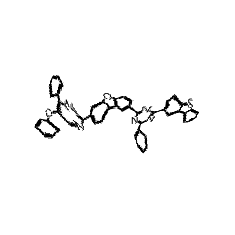 c1ccc(Oc2cnc(-c3ccc4c(c3)oc3ccc(-c5nc(-c6ccccc6)nc(-c6ccc7sc8ccccc8c7c6)n5)cc34)nc2-c2ccccc2)cc1